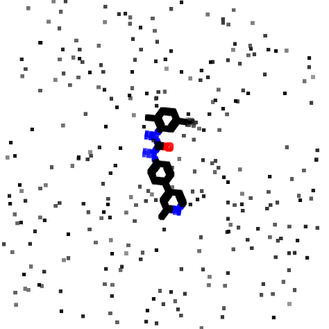 Cc1cc(-c2ccc(NC(=O)Nc3cc(C(C)C)ccc3C)cc2)ccn1